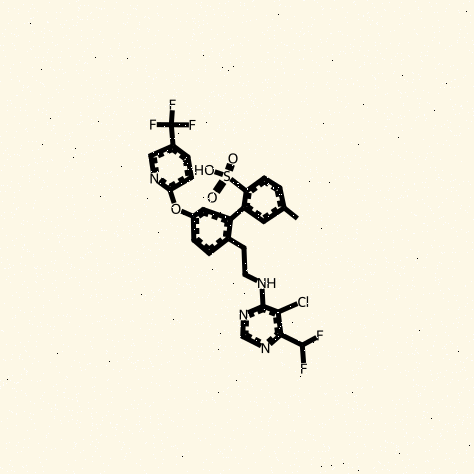 Cc1ccc(S(=O)(=O)O)c(-c2cc(Oc3ccc(C(F)(F)F)cn3)ccc2CCNc2ncnc(C(F)F)c2Cl)c1